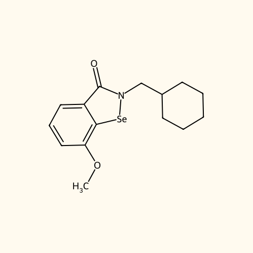 COc1cccc2c(=O)n(CC3CCCCC3)[se]c12